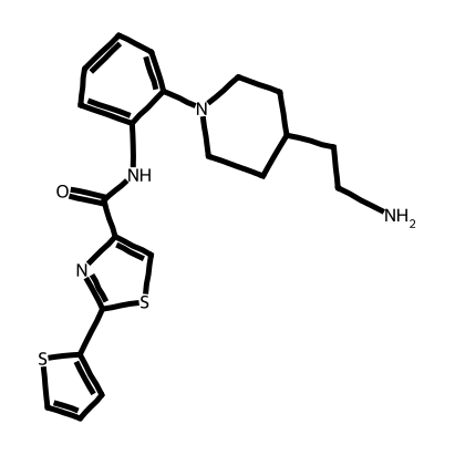 NCCC1CCN(c2ccccc2NC(=O)c2csc(-c3cccs3)n2)CC1